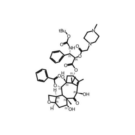 CC1=C2[C@@H](O)C(=O)[C@@]3(C)C([C@@H]4CO[C@@H]4C[C@@H]3O)[C@H](OC(=O)c3ccccc3)[C@](O)(C[C@@H]1OC(=O)[C@H](OC(=O)CN1CCN(C)CC1)[C@@H](NC(=O)OC(C)(C)C)c1ccccc1)C2(C)C